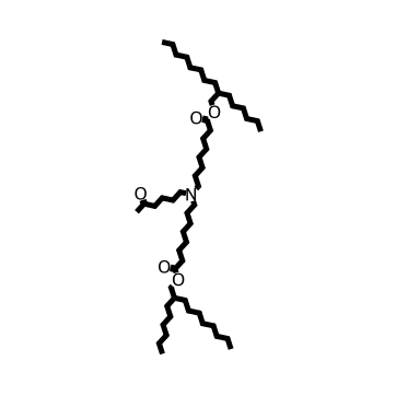 CCCCCCCCC(CCCCCC)COC(=O)CCCCCCCN(CCCCCCCC(=O)OCC(CCCCCC)CCCCCCCC)CCCCC(C)=O